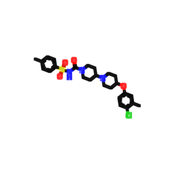 Cc1ccc(S(=O)(=O)NC(=O)N2CCC(N3CCC(Oc4ccc(Cl)c(C)c4)CC3)CC2)cc1